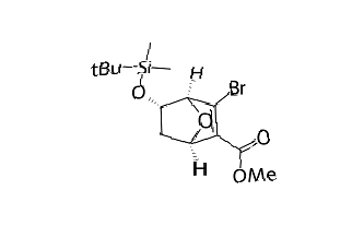 COC(=O)C1=C(Br)[C@H]2O[C@@H]1C[C@@H]2O[Si](C)(C)C(C)(C)C